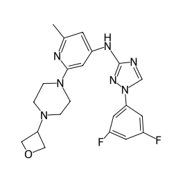 Cc1cc(Nc2ncn(-c3cc(F)cc(F)c3)n2)cc(N2CCN(C3COC3)CC2)n1